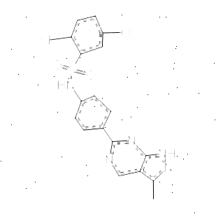 Cc1n[nH]c2nc(-c3ccc(NS(=O)(=O)c4cc(Cl)ccc4Cl)cc3)ncc12